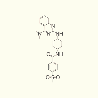 CN(C)c1nc(N[C@H]2CC[C@@H](NC(=O)c3ccc(S(C)(=O)=O)cc3)CC2)nc2ccccc12